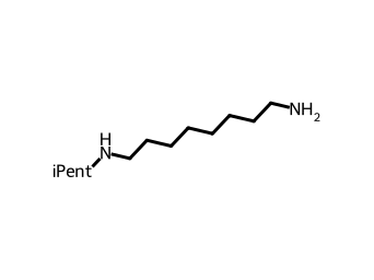 CCCC(C)NCCCCCCCCN